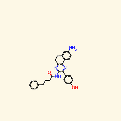 Nc1ccc2c(c1)CCc1nc(NC(=O)CCCc3ccccc3)c(-c3ccc(O)cc3)nc1-2